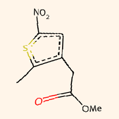 COC(=O)Cc1cc([N+](=O)[O-])sc1C